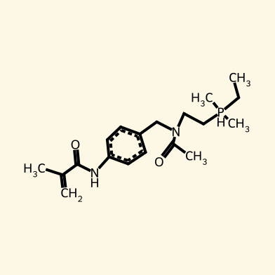 C=C(C)C(=O)Nc1ccc(CN(CC[PH](C)(C)CC)C(C)=O)cc1